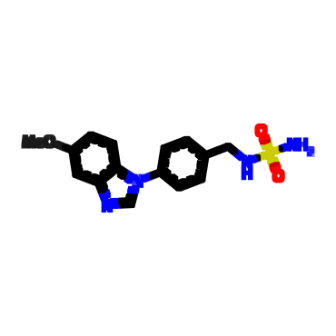 COc1ccc2c(c1)ncn2-c1ccc(CNS(N)(=O)=O)cc1